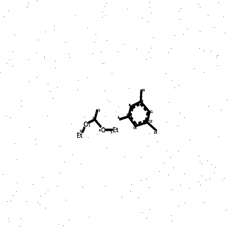 CCOC(C)OCC.Cc1cc(C)cc(C)c1